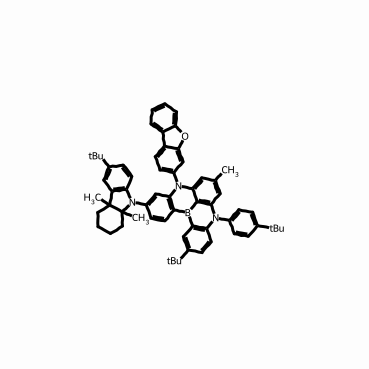 Cc1cc2c3c(c1)N(c1ccc4c(c1)oc1ccccc14)c1cc(N4c5ccc(C(C)(C)C)cc5C5(C)CCCCC45C)ccc1B3c1cc(C(C)(C)C)ccc1N2c1ccc(C(C)(C)C)cc1